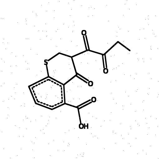 CCC(=O)C(=O)C1CSc2cccc(C(=O)O)c2C1=O